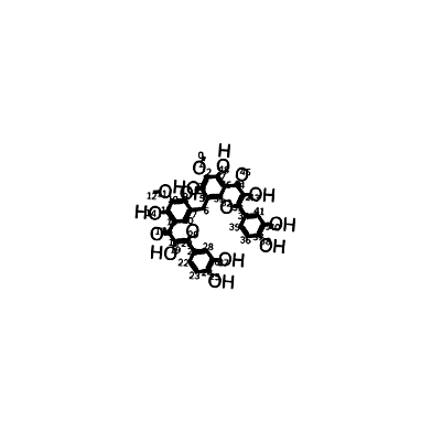 COc1c(O)c(Cc2c(O)c(OC)c(O)c3c(=O)c(O)c(-c4ccc(O)c(O)c4)oc23)c2oc(-c3ccc(O)c(O)c3)c(O)c(=O)c2c1O